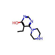 CCc1c(O)n[c]nc1N1CCNCC1